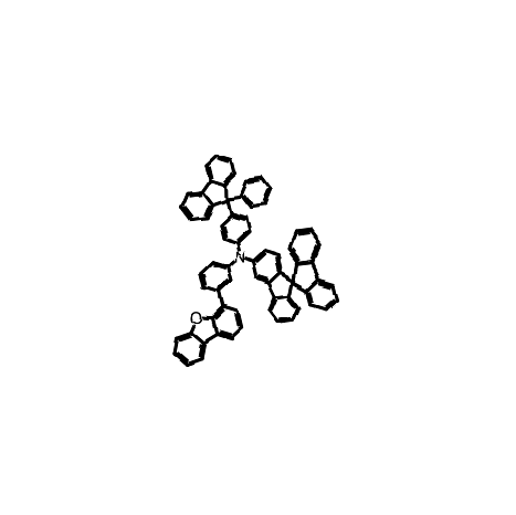 c1ccc(C2(c3ccc(N(c4cccc(-c5cccc6c5oc5ccccc56)c4)c4ccc5c(c4)-c4ccccc4C54c5ccccc5-c5ccccc54)cc3)c3ccccc3-c3ccccc32)cc1